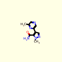 Cc1cncc(-c2cnn(C)c2C(N)=O)n1